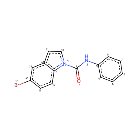 O=C(Nc1ccccc1)n1ccc2cc(Br)ccc21